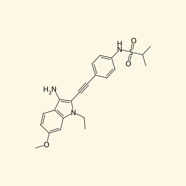 CCn1c(C#Cc2ccc(NS(=O)(=O)C(C)C)cc2)c(N)c2ccc(OC)cc21